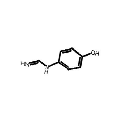 N=CNc1ccc(O)cc1